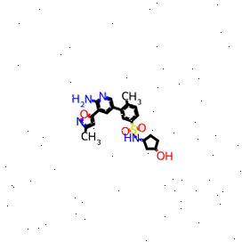 Cc1cc(-c2cc(-c3cc(S(=O)(=O)NC4CCC(O)C4)ccc3C)cnc2N)on1